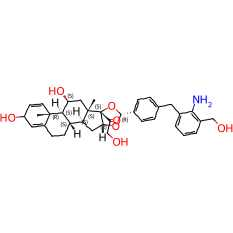 C[C@]12C=CC(O)C=C1CC[C@@H]1[C@@H]2[C@@H](O)C[C@@]2(C)[C@H]1C[C@H]1O[C@@H](c3ccc(Cc4cccc(CO)c4N)cc3)O[C@]12C(=O)CO